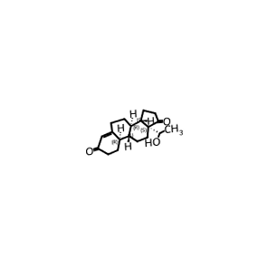 CC(O)[C@]12CC[C@H]3[C@@H](CCC4=CC(=O)CC[C@@H]43)[C@@H]1CCC2=O